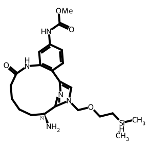 COC(=O)Nc1ccc2c(c1)NC(=O)CCCC[C@H](N)c1nc-2cn1COCC[SiH](C)C